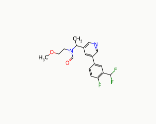 COCCN(C=O)C(C)c1cncc(-c2ccc(F)c(C(F)F)c2)c1